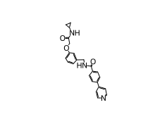 O=C(COc1cccc(CNC(=O)c2ccc(-c3ccncc3)cc2)c1)NC1CC1